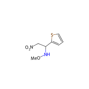 CONC(C[N+](=O)[O-])c1cccs1